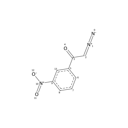 [N-]=[N+]=CC(=O)c1cccc([N+](=O)[O-])c1